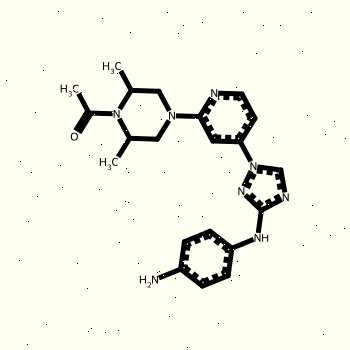 CC(=O)N1C(C)CN(c2cc(-n3cnc(Nc4ccc(N)cc4)n3)ccn2)CC1C